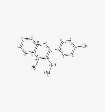 CC(C)(C)Nc1c(-c2ccc(Cl)cc2)cc2ccccc2c1C#N